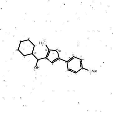 COc1ccc(-c2cc(C(O)C3CCCCC3)c(C)o2)cc1